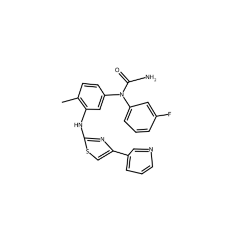 Cc1ccc(N(C(N)=O)c2cccc(F)c2)cc1Nc1nc(-c2cccnc2)cs1